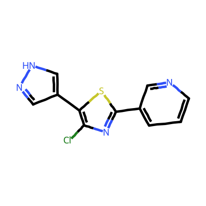 Clc1nc(-c2cccnc2)sc1-c1cn[nH]c1